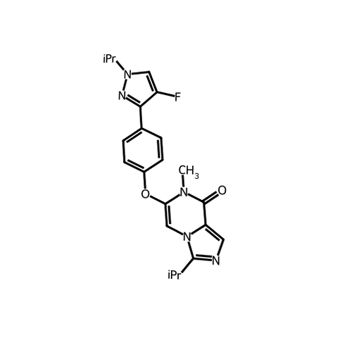 CC(C)c1ncc2c(=O)n(C)c(Oc3ccc(-c4nn(C(C)C)cc4F)cc3)cn12